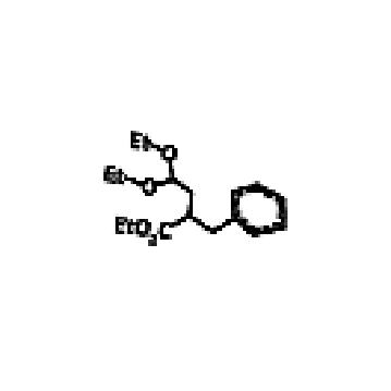 CCOC(=O)C(Cc1ccccc1)CC(OCC)OCC